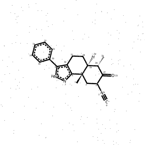 [C-]#[N+]C1C[C@]2(C)c3n[nH]c(-c4ccccc4)c3CC[C@H]2[C@H](C)C1=O